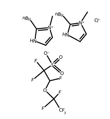 CCCCc1[nH]cc[n+]1C.CCCCc1[nH]cc[n+]1C.O=S(=O)([O-])C(F)(F)C(F)OC(F)(F)C(F)(F)F.[Cl-]